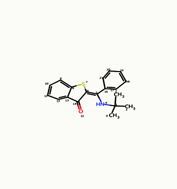 CC(C)(C)NC(=C1Sc2ccccc2C1=O)c1ccccc1